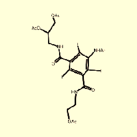 CC(=O)Nc1c(I)c(C(=O)NCCOC(C)=O)c(I)c(C(=O)NCC(COC(C)=O)OC(C)=O)c1I